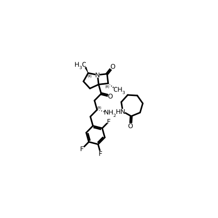 C[C@@H]1CCC2(C(=O)C[C@H](N)Cc3cc(F)c(F)cc3F)[C@@H](C)C(=O)N12.O=C1CCCCCN1